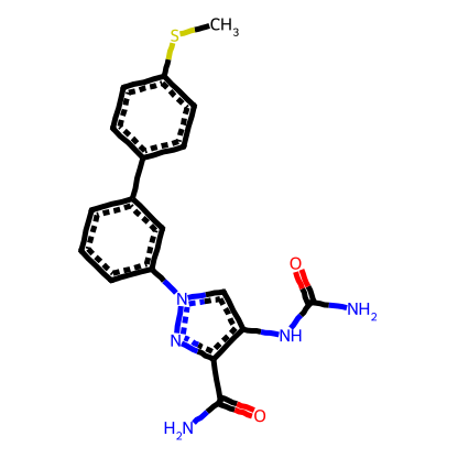 CSc1ccc(-c2cccc(-n3cc(NC(N)=O)c(C(N)=O)n3)c2)cc1